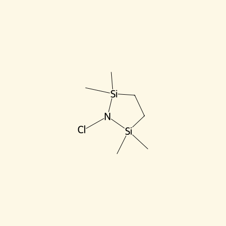 C[Si]1(C)CC[Si](C)(C)N1Cl